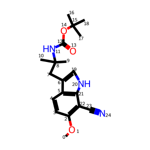 COc1ccc2c(CC(C)(C)NC(=O)OC(C)(C)C)c[nH]c2c1C#N